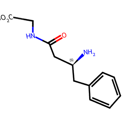 N[C@H](CC(=O)NCC(=O)O)Cc1ccccc1